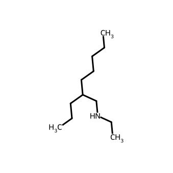 CCCCCC(CCC)CNCC